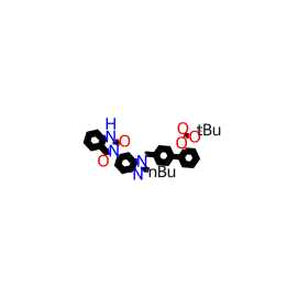 CCCCc1nc2ccc(-n3c(=O)[nH]c4ccccc4c3=O)cc2n1Cc1ccc(-c2ccccc2OC(=O)OC(C)(C)C)cc1